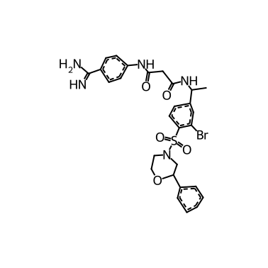 CC(NC(=O)CC(=O)Nc1ccc(C(=N)N)cc1)c1ccc(S(=O)(=O)N2CCOC(c3ccccc3)C2)c(Br)c1